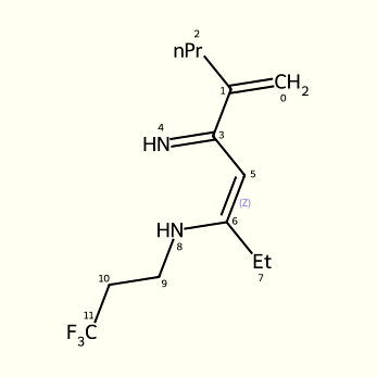 C=C(CCC)C(=N)/C=C(/CC)NCCC(F)(F)F